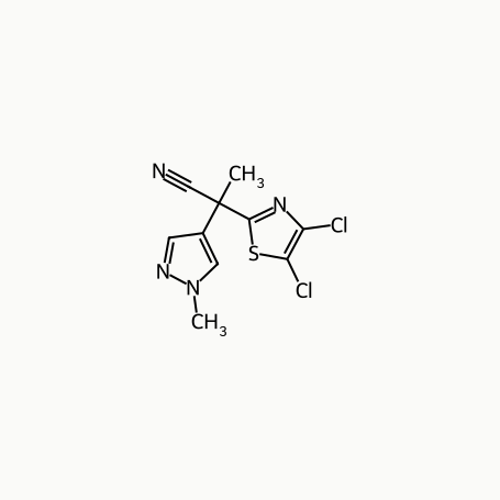 Cn1cc(C(C)(C#N)c2nc(Cl)c(Cl)s2)cn1